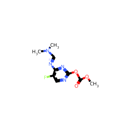 COC(=O)Oc1ncc(F)c(/N=C/N(C)C)n1